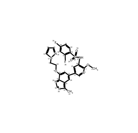 COc1ncc(-c2cc(OCCn3cccn3)c3ncnc(C)c3c2)cc1NS(=O)(=O)c1ccc(F)cc1F